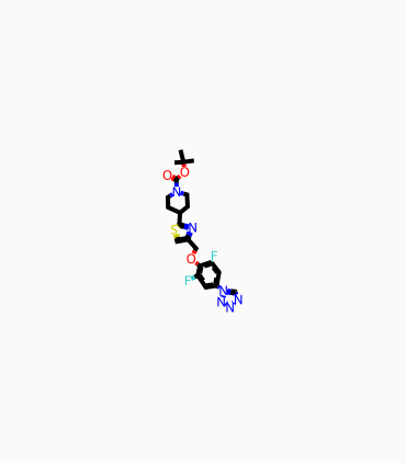 CC(C)(C)OC(=O)N1CCC(c2nc(COc3c(F)cc(-n4cnnn4)cc3F)cs2)CC1